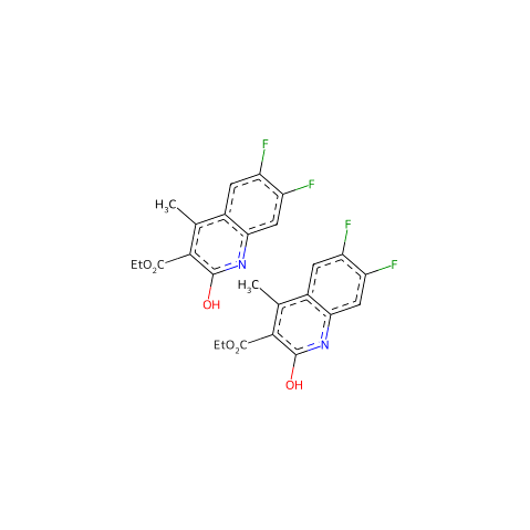 CCOC(=O)c1c(O)nc2cc(F)c(F)cc2c1C.CCOC(=O)c1c(O)nc2cc(F)c(F)cc2c1C